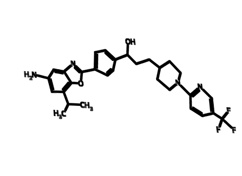 CC(C)c1cc(N)cc2nc(-c3ccc(C(O)CCC4CCN(c5ccc(C(F)(F)F)cn5)CC4)cc3)oc12